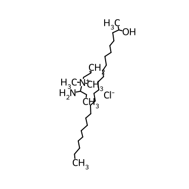 C=CC[N+](C)(C)C(N)CC.CCCCCCCCCCCCCCCCCCCCCCC(C)O.[Cl-]